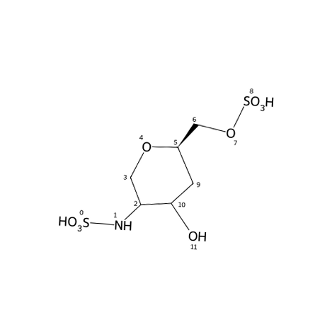 O=S(=O)(O)NC1CO[C@@H](COS(=O)(=O)O)CC1O